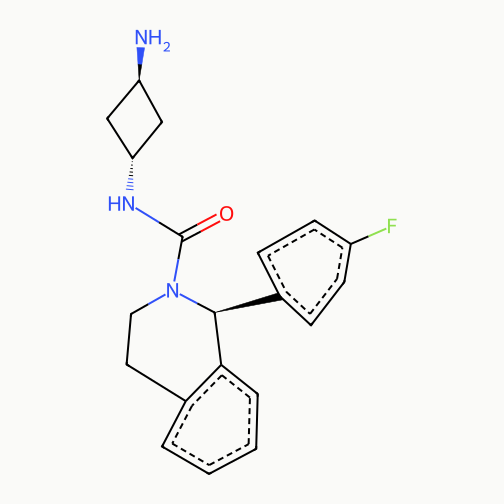 N[C@H]1C[C@H](NC(=O)N2CCc3ccccc3[C@@H]2c2ccc(F)cc2)C1